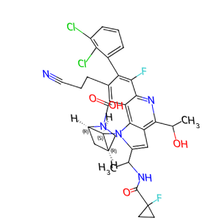 CC(O)c1nc2c(F)c(-c3cccc(Cl)c3Cl)c(CCC#N)cc2c2c1cc(C(C)NC(=O)C1(F)CC1)n2[C@H]1[C@@H]2C[C@H]1N(C(=O)O)C2